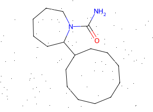 NC(=O)N1CCCCCC1C1CCCCCCCCC1